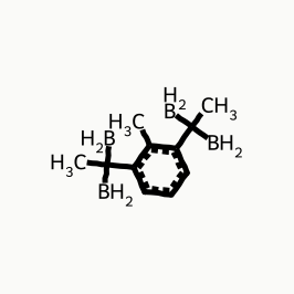 BC(B)(C)c1cccc(C(B)(B)C)c1C